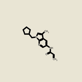 C=CC(=O)Nc1cnc2c(c1)c(C)cn2CC1CCCC1